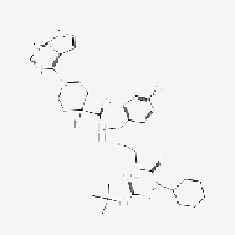 CC(C)(C)OC(=O)N[C@@H](C(=O)NCC[C@H](NC(=O)C1(N)CCN(c2ncnc3[nH]ccc23)CC1)c1ccc(Cl)cc1)C1CCCCC1